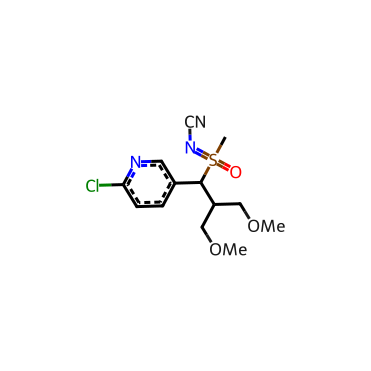 COCC(COC)C(c1ccc(Cl)nc1)S(C)(=O)=NC#N